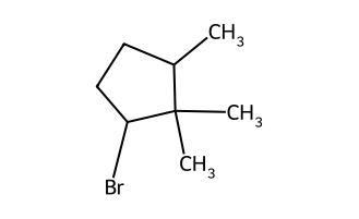 CC1CCC(Br)C1(C)C